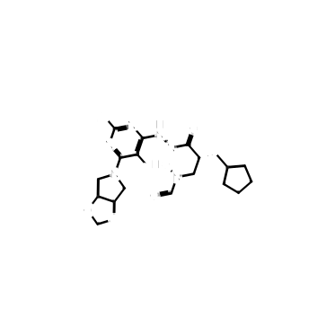 Cc1nc(NNC(=O)[C@H](CC2CCCC2)CN(O)C=O)c(F)c(N2CC3OCOC3C2)n1